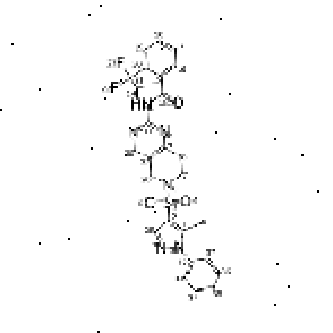 Cc1c(S(=O)(=O)N2CCc3nc(NC(=O)c4ccccc4C(F)(F)F)ncc3C2)cnn1-c1ccccc1